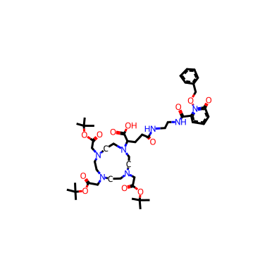 CC(C)(C)OC(=O)CN1CCN(CC(=O)OC(C)(C)C)CCN(C(CCC(=O)NCCNC(=O)c2cccc(=O)n2OCc2ccccc2)C(=O)O)CCN(CC(=O)OC(C)(C)C)CC1